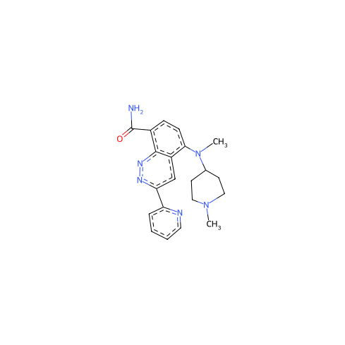 CN1CCC(N(C)c2ccc(C(N)=O)c3nnc(-c4ccccn4)cc23)CC1